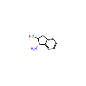 N[C@H]1c2ccccc2CC1O